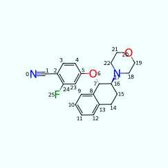 N#Cc1ccc(O[C@H]2c3ccccc3CC[C@@H]2N2CCOCC2)cc1F